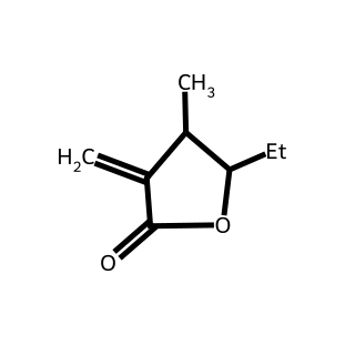 C=C1C(=O)OC(CC)C1C